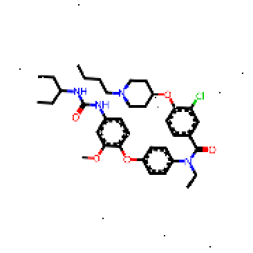 CCCCN1CCC(Oc2ccc(C(=O)N(CC)c3ccc(Oc4ccc(NC(=O)NC(CC)CC)cc4OC)cc3)cc2Cl)CC1